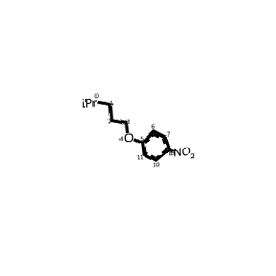 CC(C)CCCOc1ccc([N+](=O)[O-])cc1